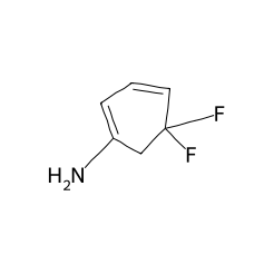 NC1=CC=CC(F)(F)C1